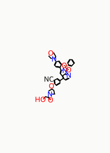 N#Cc1cc(-c2ccnc3c2cc(-c2ccc(N4CCOCC4)cc2)n3S(=O)(=O)c2ccccc2)ccc1O[C@@H]1CCN(C(=O)CO)C1